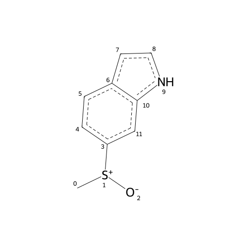 C[S+]([O-])c1ccc2cc[nH]c2c1